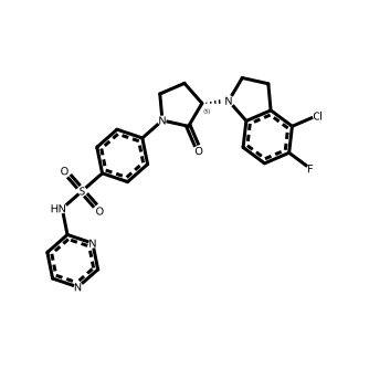 O=C1[C@@H](N2CCc3c2ccc(F)c3Cl)CCN1c1ccc(S(=O)(=O)Nc2ccncn2)cc1